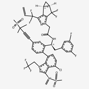 C=CC(F)(F)c1nn(CC(=O)N[C@@H](Cc2cc(F)cc(F)c2)c2nc(C#CC(C)(C)S(C)(=O)=O)ccc2-c2ccc(Cl)c3c([N+](=C)S(C)(=O)=O)nn(CC(F)(F)F)c23)c2c1[C@H]1C[C@H]1C2(F)F